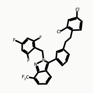 Fc1cc(F)c(Cn2nc3c(C(F)(F)F)cccc3c2-c2cccc(CCc3ccc(Cl)cc3Cl)c2)c(F)c1